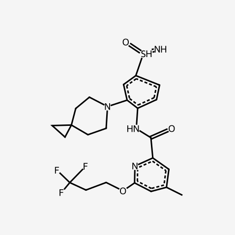 Cc1cc(OCCC(F)(F)F)nc(C(=O)Nc2ccc([SH](=N)=O)cc2N2CCC3(CC2)CC3)c1